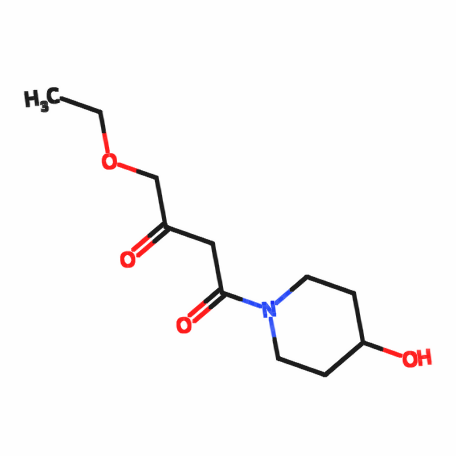 CCOCC(=O)CC(=O)N1CCC(O)CC1